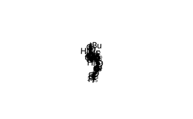 CC(C)(C)OC(=O)NC1=N[C@](C)(c2nc(NC(=O)c3ccc(OCC(F)(F)C(F)F)cn3)ccc2F)[C@H]2CCN=[S@@]2(=O)C1(C)C